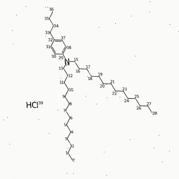 CCCCCCCCCCCCCCN(CCCCCCCCCCCCCC)c1ccc(CCCC)cc1.Cl